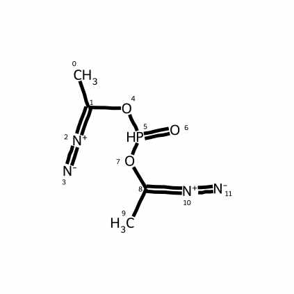 CC(=[N+]=[N-])O[PH](=O)OC(C)=[N+]=[N-]